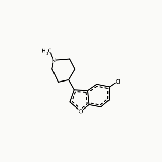 CN1CCC(c2coc3ccc(Cl)cc23)CC1